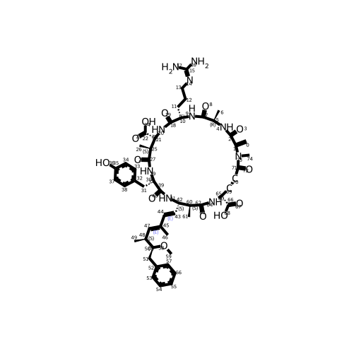 C=C1C(=O)N[C@H](C)C(=O)N[C@@H](CCCN=C(N)N)C(=O)N[C@@H](C(=O)O)[C@H](C)C(=O)N[C@@H](Cc2ccc(O)cc2)C(=O)N[C@@H](/C=C/C(C)=C/[C@H](C)[C@H](Cc2ccccc2)OC)[C@H](C)C(=O)N[C@@H](C(=O)O)CCC(=O)N1C